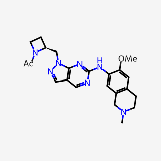 COc1cc2c(cc1Nc1ncc3cnn(C[C@@H]4CCN4C(C)=O)c3n1)CN(C)CC2